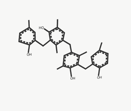 Cc1ccc(O)c(Cc2c(C)c(Cc3cc(C)c(O)c(Cc4cc(C)ccc4O)c3C)cc(C)c2O)c1